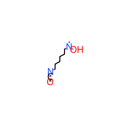 CN(O)CCCCCCN=C=O